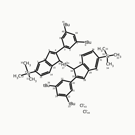 CC(C)(C)c1cc(C2=Cc3cc([Si](C)(C)C)ccc3[CH]2[Hf+2][CH]2C(c3cc(C(C)(C)C)cc(C(C)(C)C)c3)=Cc3cc([Si](C)(C)C)ccc32)cc(C(C)(C)C)c1.[Cl-].[Cl-]